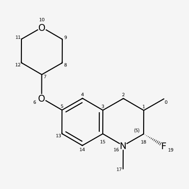 CC1Cc2cc(OC3CCOCC3)ccc2N(C)[C@H]1F